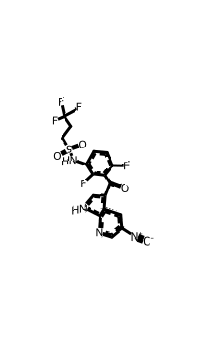 [C-]#[N+]c1cnc2[nH]cc(C(=O)c3c(F)ccc(NS(=O)(=O)CCC(F)(F)F)c3F)c2c1